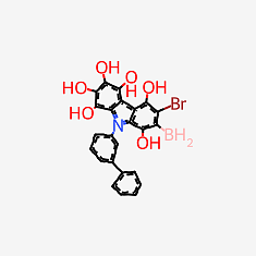 Bc1c(Br)c(O)c2c3c(O)c(O)c(O)c(O)c3n(-c3cccc(-c4ccccc4)c3)c2c1O